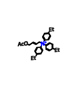 CCc1ccc([N+](CC=CCOC(C)=O)(c2ccc(CC)cc2)c2ccc(CC)cc2)cc1